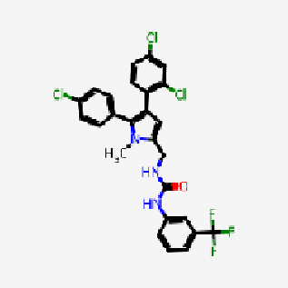 Cn1c(CNC(=O)Nc2cccc(C(F)(F)F)c2)cc(-c2ccc(Cl)cc2Cl)c1-c1ccc(Cl)cc1